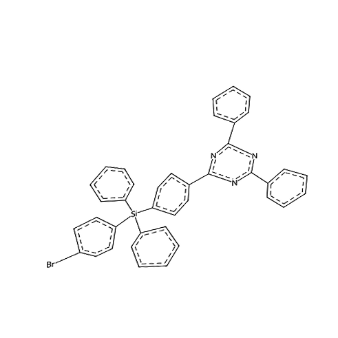 Brc1ccc([Si](c2ccccc2)(c2ccccc2)c2ccc(-c3nc(-c4ccccc4)nc(-c4ccccc4)n3)cc2)cc1